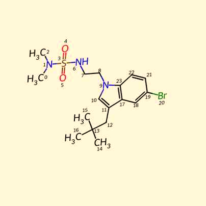 CN(C)S(=O)(=O)NCCn1cc(CC(C)(C)C)c2cc(Br)ccc21